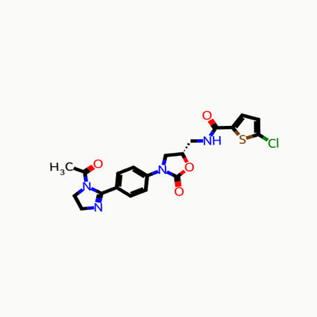 CC(=O)N1CCN=C1c1ccc(N2C[C@H](CNC(=O)c3ccc(Cl)s3)OC2=O)cc1